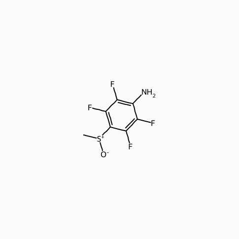 C[S+]([O-])c1c(F)c(F)c(N)c(F)c1F